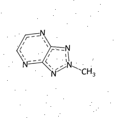 Cn1nc2nccnc2n1